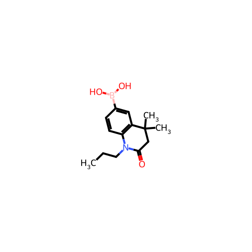 CCCN1C(=O)CC(C)(C)c2cc(B(O)O)ccc21